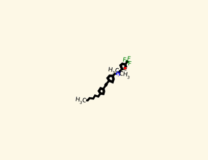 CCCCCCc1ccc(C#Cc2ccc(C[N]C(C)(C)c3ccc(C(F)(F)F)cc3)cc2)cc1